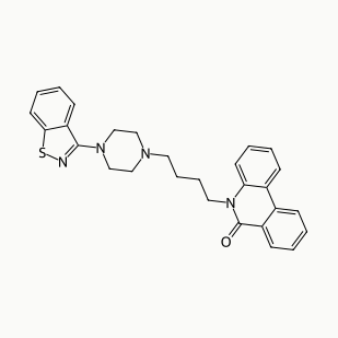 O=c1c2ccccc2c2ccccc2n1CCCCN1CCN(c2nsc3ccccc23)CC1